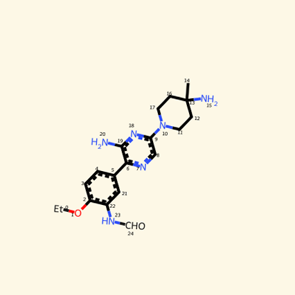 CCOc1ccc(-c2ncc(N3CCC(C)(N)CC3)nc2N)cc1NC=O